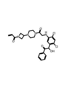 C=CC(=O)N1CC(N2CCN(C(=O)CNc3cc(C(O)C(=O)c4ccccc4)c(Cl)cc3Cl)CC2)C1